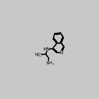 N#CC(CN)Nc1cncc2ccccc12